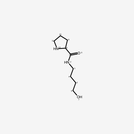 O=C(NCCCCO)C1CCCN1